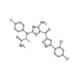 CC(C(N)=O)N(c1ccc(F)cc1)c1nc(N)c(C(=O)c2cc(-c3ccc(Cl)cc3Cl)no2)s1